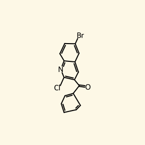 O=C(c1ccccc1)c1cc2cc(Br)ccc2nc1Cl